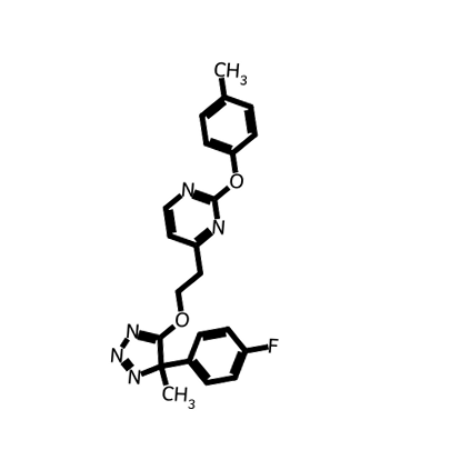 Cc1ccc(Oc2nccc(CCOC3=NN=NC3(C)c3ccc(F)cc3)n2)cc1